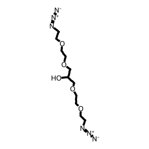 [N-]=[N+]=NCCOCCOCC(O)COCCOCCN=[N+]=[N-]